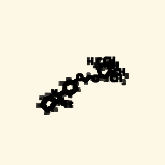 CCn1c(-c2ccc(OCCOC3CC(C)(C)NC(C)(C)C3)cc2)nc2ccccc21